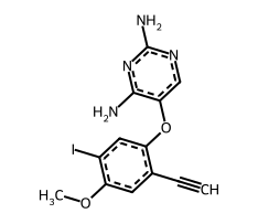 C#Cc1cc(OC)c(I)cc1Oc1cnc(N)nc1N